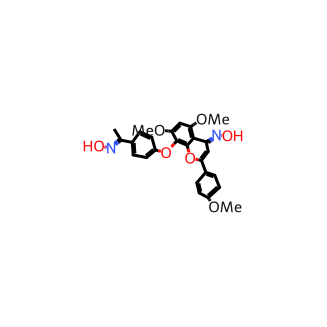 COc1ccc(-c2cc(=NO)c3c(OC)cc(OC)c(Oc4ccc(C(C)=NO)cc4)c3o2)cc1